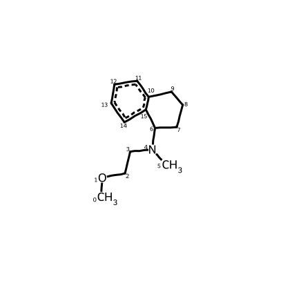 COCCN(C)C1CCCc2ccccc21